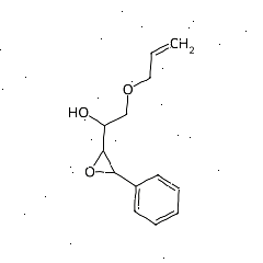 C=CCOCC(O)C1OC1c1ccccc1